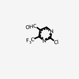 O=Cc1cnc(Cl)nc1C(F)(F)F